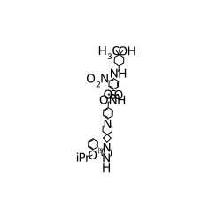 CC(C)Oc1ccccc1[C@H]1CNCCN1C1CC2(CCN(c3ccc(C(=O)NS(=O)(=O)c4ccc(NCC5CCC(C)(O)CC5)c([N+](=O)[O-])c4)cc3)CC2)C1